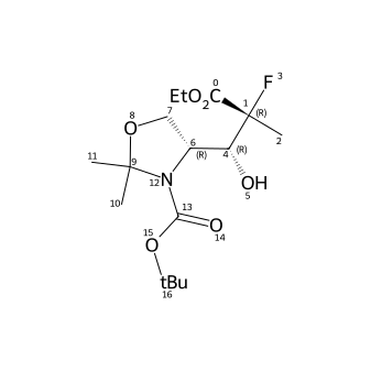 CCOC(=O)[C@](C)(F)[C@H](O)[C@H]1COC(C)(C)N1C(=O)OC(C)(C)C